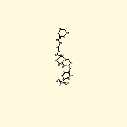 CS(=O)(=O)c1ccc(CN2CCN3CC(COCCCN4CCCCC4)CCC3C2)cc1